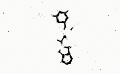 COc1cc(F)cc([C@@H](CO)NC(=O)C(C)N2Cc3ccccc3C2=O)c1